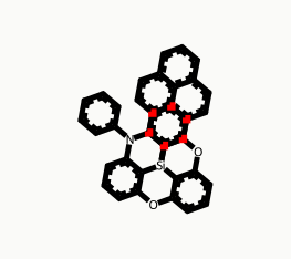 c1ccc(N2c3cccc4c3[Si]3(c5ccccc5)c5c(cccc5Oc5c3c2c2ccc3cccc6ccc5c2c63)O4)cc1